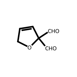 O=CC1(C=O)C=CCO1